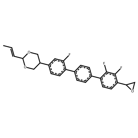 C/C=C/C1OCC(c2ccc(-c3ccc(-c4ccc(C5CO5)c(F)c4F)cc3)c(F)c2)CO1